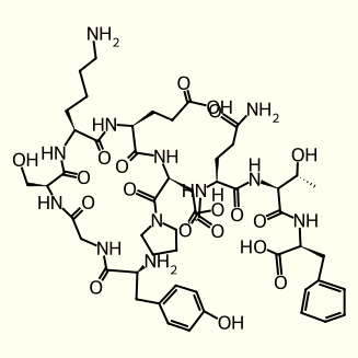 C[C@@H](O)[C@H](NC(=O)[C@H](CCC(N)=O)NC(=O)[C@@H]1CCCN1C(=O)[C@H](CC(=O)O)NC(=O)[C@H](CCC(=O)O)NC(=O)[C@H](CCCCN)NC(=O)[C@H](CO)NC(=O)CNC(=O)[C@@H](N)Cc1ccc(O)cc1)C(=O)N[C@@H](Cc1ccccc1)C(=O)O